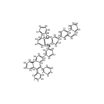 c1ccc(-c2c(-c3ccccc3)c3cc(-c4cccc(N(c5ccc(-c6ccc7c(ccc8ccccc87)c6)cc5)c5cccc6c5oc5ccccc56)c4)ccc3c3ccccc23)cc1